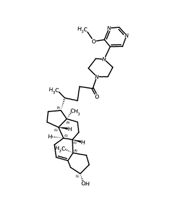 COc1ncncc1N1CCN(C(=O)CCC(C)[C@H]2CC[C@H]3[C@@H]4CC=C5C[C@@H](O)CC[C@]5(C)[C@H]4CC[C@]23C)CC1